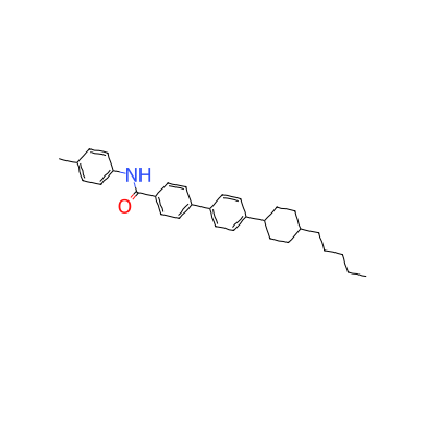 CCCCCC1CCC(c2ccc(-c3ccc(C(=O)Nc4ccc(C)cc4)cc3)cc2)CC1